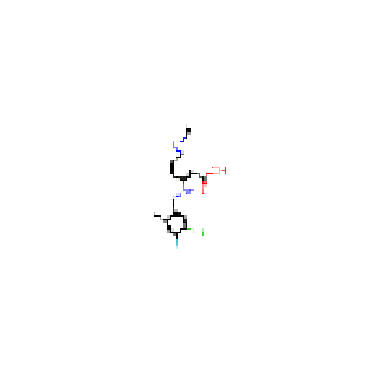 C=C/N=C/C=C\C(=C\C(=O)O)NCc1cc(Cl)c(F)cc1C